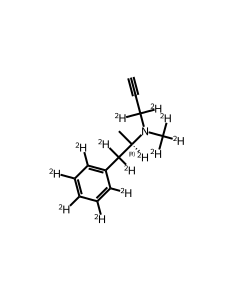 [2H]c1c([2H])c([2H])c(C([2H])([2H])[C@@]([2H])(C)N(C([2H])([2H])[2H])C([2H])([2H])C#C)c([2H])c1[2H]